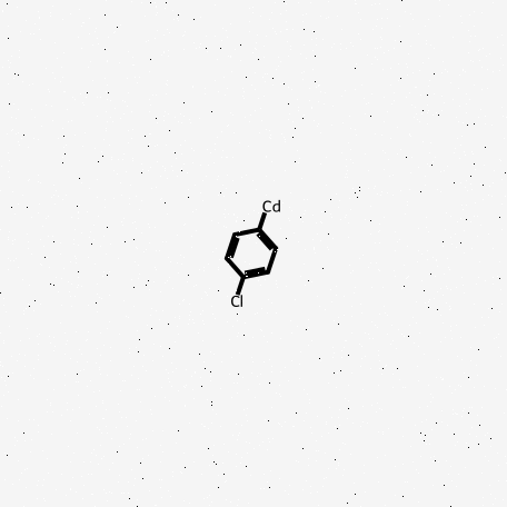 Clc1cc[c]([Cd])cc1